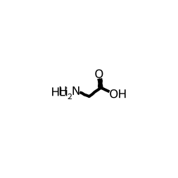 NCC(=O)O.[LiH]